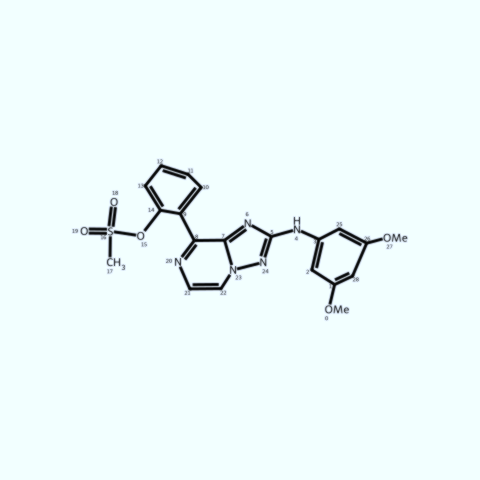 COc1cc(Nc2nc3c(-c4ccccc4OS(C)(=O)=O)nccn3n2)cc(OC)c1